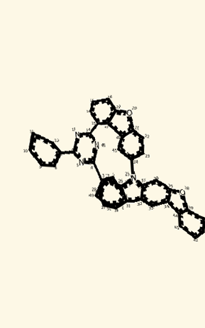 c1ccc(-c2nc(-c3ccccc3)nc(-c3cccc4oc5ccc(-n6c7ccccc7c7cc8c(cc76)oc6ccccc68)cc5c34)n2)cc1